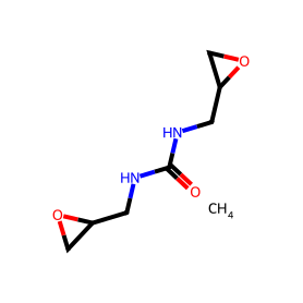 C.O=C(NCC1CO1)NCC1CO1